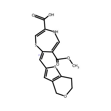 COC(=O)C1=CNC(C(=O)O)=CS/C1=C/c1cc2c(s1)CCOC2